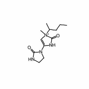 CCCC(C)[N+]1(C)C=C(N2CCNC2=O)NC1=O